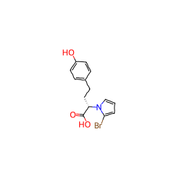 O=C(O)[C@H](CCc1ccc(O)cc1)n1cccc1Br